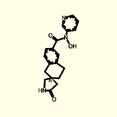 O=C1C[C@@]2(CCc3cc(C(=O)N(O)c4cccnc4)ccc3C2)CN1